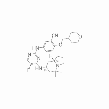 CC1(C)C[C@H](Nc2nc(Nc3ccc(OCC4CCOCC4)c(C#N)c3)ncc2F)C[C@@H]2CCCN21